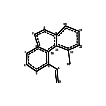 C=Cc1cccc2ccc3cccc(C)c3c12